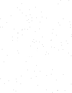 CNc1cc(Br)c(F)cc1NCc1ccccc1